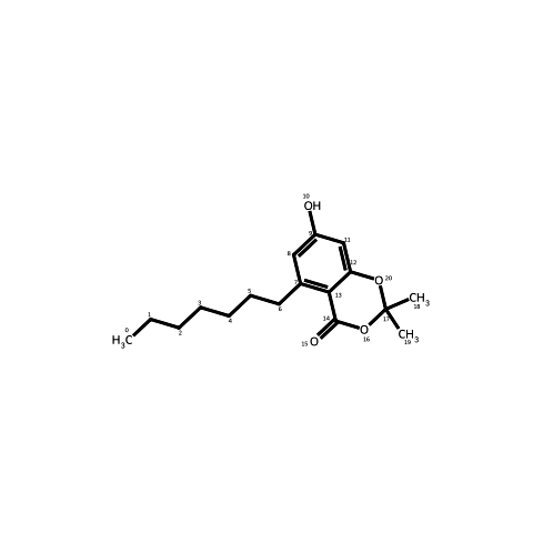 CCCCCCCc1cc(O)cc2c1C(=O)OC(C)(C)O2